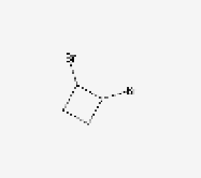 BrC1CCC1Br